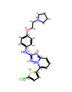 Clc1ccc(-c2cccc3nc(Nc4ccc(OCCN5CCCC5)cc4)nn23)s1